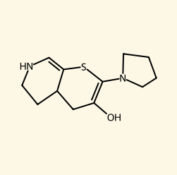 OC1=C(N2CCCC2)SC2=CNCCC2C1